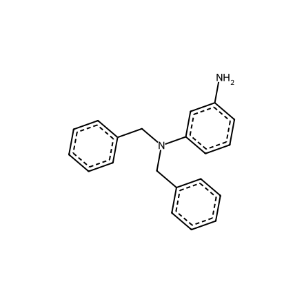 Nc1cccc(N(Cc2ccccc2)Cc2ccccc2)c1